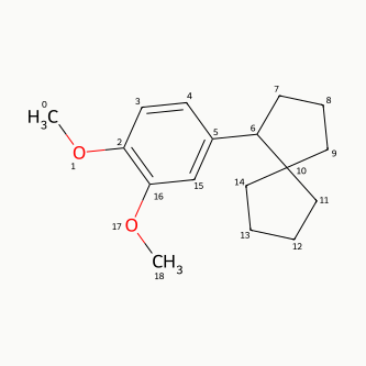 COc1ccc(C2CCCC23CCCC3)cc1OC